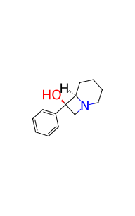 O[C@]1(c2ccccc2)CN2CCCC[C@@H]21